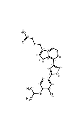 CC(C)Oc1ccc(-c2nc(-c3cccc4c(CCCC(=O)O)c[nH]c34)no2)cc1Cl